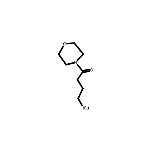 CC(C)(C)CCCC(=O)N1CCOCC1